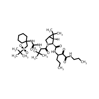 CCCNC(=O)C(=O)C(CCC)NC(=O)[C@@H]1[C@@H]2C(CN1C(=O)[C@@H](NC(=O)NC1(CS(=O)(=O)C(C)(C)C)CCCCC1)C(C)(C)C)C2(C)C